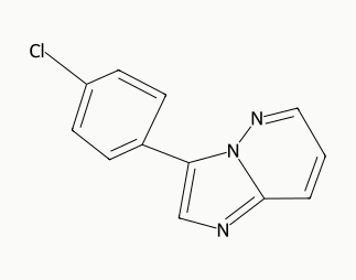 Clc1ccc(-c2cnc3cccnn23)cc1